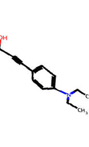 CCN(CC)c1ccc(C#CCO)cc1